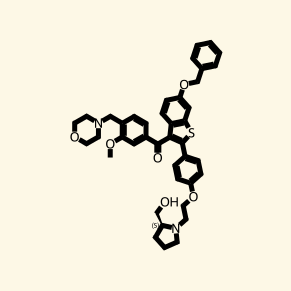 COc1cc(C(=O)c2c(-c3ccc(OCCN4CCC[C@H]4CO)cc3)sc3cc(OCc4ccccc4)ccc23)ccc1CN1CCOCC1